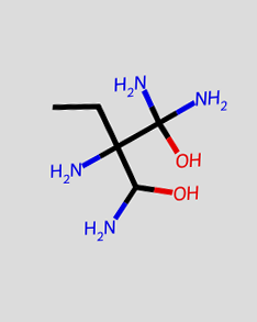 CCC(N)(C(N)O)C(N)(N)O